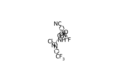 N#Cc1ccc(S(=O)(=O)N2CC(F)CC2C(=O)NCc2cn(-c3ccc(C(F)(F)F)cc3)nc2Cl)cc1